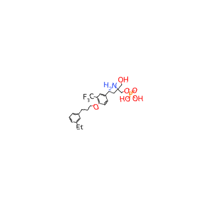 CCc1cccc(CCCOc2ccc(CCC(N)(CO)COP(=O)(O)O)cc2C(F)(F)F)c1